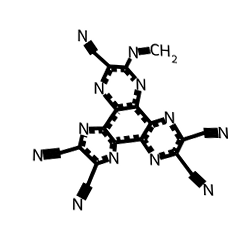 C=Nc1nc2c3nc(C#N)c(C#N)nc3c3nc(C#N)c(C#N)nc3c2nc1C#N